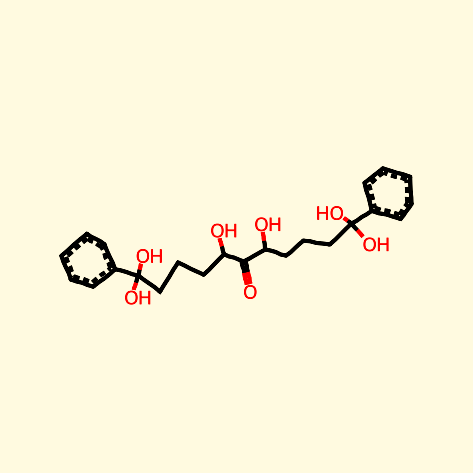 O=C(C(O)CCCC(O)(O)c1ccccc1)C(O)CCCC(O)(O)c1ccccc1